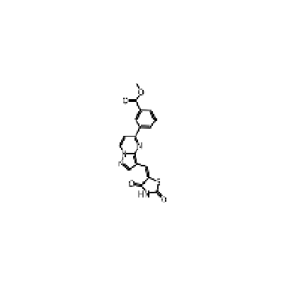 COC(=O)c1cccc(-c2ccn3ncc(/C=C4/SC(=O)NC4=O)c3n2)c1